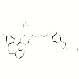 Cl.Cl.Cl.N[C@@H](Cc1ccc(OCCCCN2CCC(=C3c4ccc(Cl)cc4CCc4cccnc43)CC2)c(Cl)c1)C(=O)O